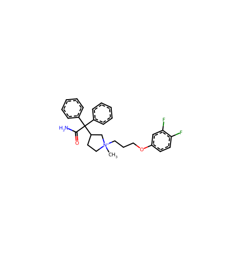 C[N+]1(CCCOc2ccc(F)c(F)c2)CCC(C(C(N)=O)(c2ccccc2)c2ccccc2)C1